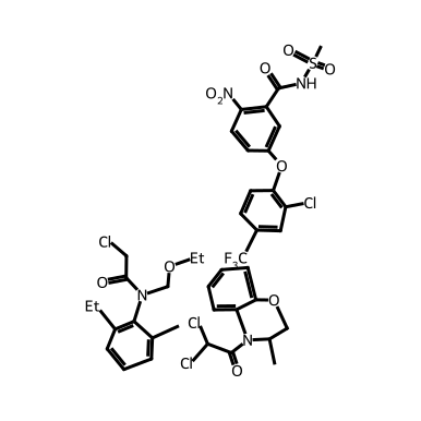 CC1COc2ccccc2N1C(=O)C(Cl)Cl.CCOCN(C(=O)CCl)c1c(C)cccc1CC.CS(=O)(=O)NC(=O)c1cc(Oc2ccc(C(F)(F)F)cc2Cl)ccc1[N+](=O)[O-]